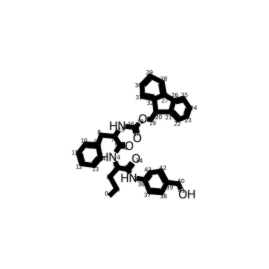 CCCC(NC(=O)C(Cc1ccccc1)NC(=O)OCC1c2ccccc2-c2ccccc21)C(=O)Nc1ccc(CO)cc1